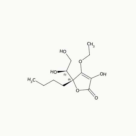 CCCC[C@]1([C@@H](O)CO)OC(=O)C(O)=C1OCC